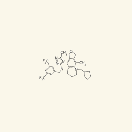 Cc1c2c(cc3c1N(CC1CCCC1)CCC[C@@H]3N(Cc1cc(C(F)(F)F)cc(C(F)(F)F)c1)c1nnn(C)n1)COC2